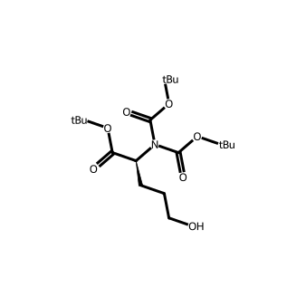 CC(C)(C)OC(=O)[C@H](CCCO)N(C(=O)OC(C)(C)C)C(=O)OC(C)(C)C